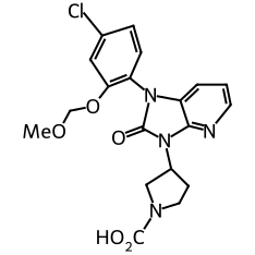 COCOc1cc(Cl)ccc1-n1c(=O)n(C2CCN(C(=O)O)C2)c2ncccc21